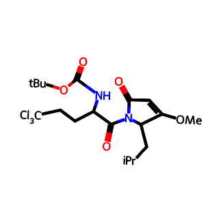 COC1=CC(=O)N(C(=O)C(CCC(Cl)(Cl)Cl)NC(=O)OC(C)(C)C)C1CC(C)C